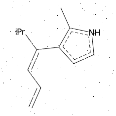 C=C/C=C(\c1cc[nH]c1C)C(C)C